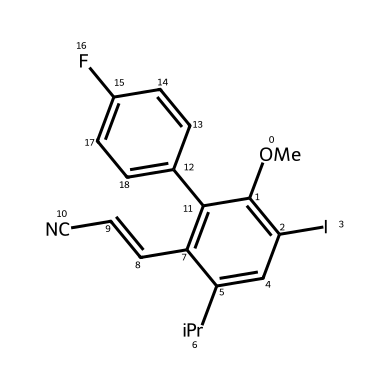 COc1c(I)cc(C(C)C)c(C=CC#N)c1-c1ccc(F)cc1